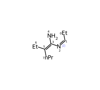 CC/C=N\C(N)=C(CC)CCC